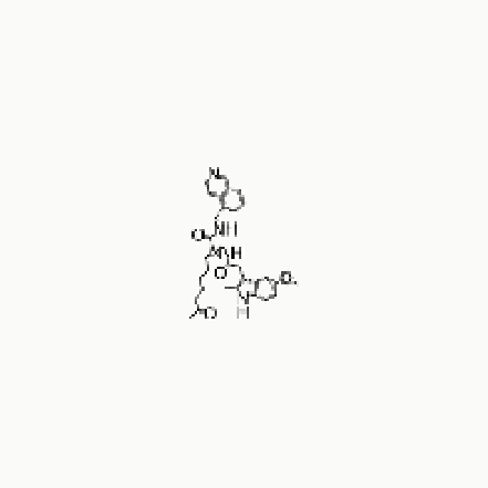 COc1ccc2[nH]c(C)c(CC(=O)N[C@@H](CCCCCC(C)=O)C(=O)NCc3cccc4cnccc34)c2c1